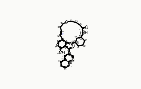 Nc1ncc2c3c1c(-c1cnc4ccccc4c1)nn3[C@@H]1CCC[C@H](C1)NC(=O)CCCOCC/C=C/2